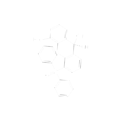 Cc1cccc2c1Oc1c(cccc1P(=O)(c1ccccc1)c1ccccc1)C2(C)C